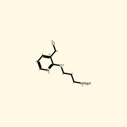 CCCCCCCCCCOc1ncccc1CCl